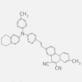 CC1=CC2C(C#N)=C(C#N)c3cc(C=Cc4ccc(N(c5ccc(C)cc5)c5ccc6c(c5)CCCC6)cc4)ccc3C2C=C1